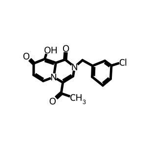 CC(=O)c1cn(Cc2cccc(Cl)c2)c(=O)c2c(O)c(=O)ccn12